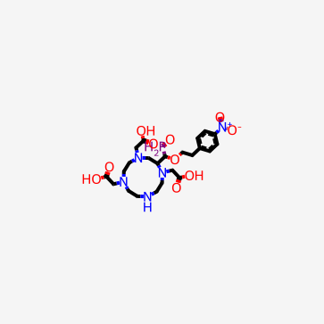 O=[PH2]C(OCCc1ccc([N+](=O)[O-])cc1)C1CN(CC(=O)O)CCN(CC(=O)O)CCNCCN1CC(=O)O